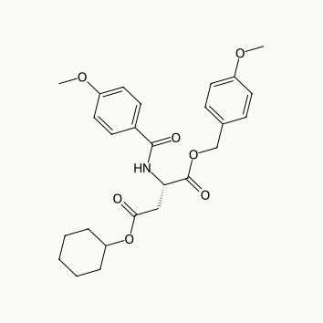 COc1ccc(COC(=O)[C@H](CC(=O)OC2CCCCC2)NC(=O)c2ccc(OC)cc2)cc1